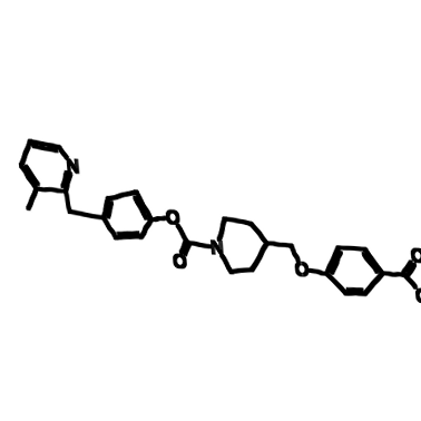 Cc1cccnc1Cc1ccc(OC(=O)N2CCC(COc3ccc(C(=O)O)cc3)CC2)cc1